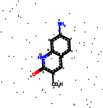 Nc1ccc2cc(C(=O)O)c(=O)[nH]c2c1